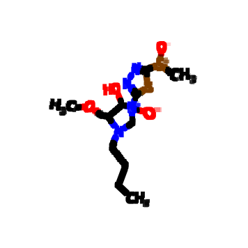 CCCCN1C[N+]([O-])(c2nnc([S+](C)[O-])s2)C(O)C1COC